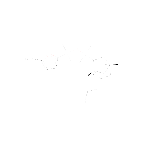 CCCc1ccc([Si](C)(C)O[Si](C)(C)C2C[C@@H]3C[C@H](CCC(C)C)[C@H]2C3)o1